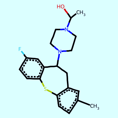 Cc1ccc2c(c1)CC(N1CCN(C(C)O)CC1)c1cc(F)ccc1S2